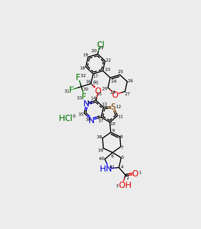 Cl.O=C(O)C1CC2(CC=C(c3csc4c(O[C@H](c5ccc(Cl)cc5C5=CCCOC5)C(F)(F)F)ncnc34)CC2)CN1